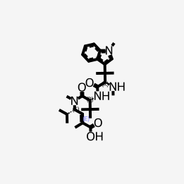 CN[C@@H](C(=O)N[C@@H](C(=O)N(C)[C@H](/C=C(\C)C(=O)O)C(C)C)C(C)(C)C)C(C)(C)c1cn(C)c2ccccc12